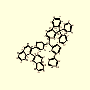 c1ccc(-c2cccc(N(c3ccc(-c4ccc5ccccc5c4-c4ccc5ccccc5c4)cc3)c3ccc4c(c3)C(c3ccccc3)(c3ccccc3)c3ccccc3-4)c2)cc1